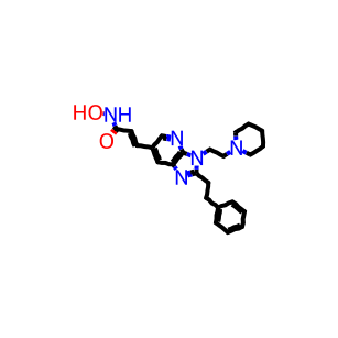 O=C(/C=C/c1cnc2c(c1)nc(CCc1ccccc1)n2CCN1CCCCC1)NO